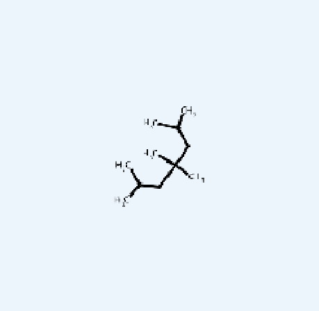 C[C](C)CC(C)(C)CC(C)C